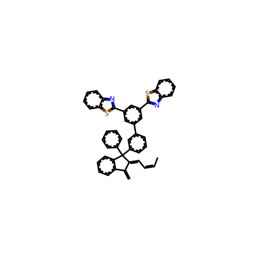 C=C1/C(=C\C=C/C)C(c2ccccc2)(c2cccc(-c3cc(-c4nc5ccccc5s4)cc(-c4nc5ccccc5s4)c3)c2)c2ccccc21